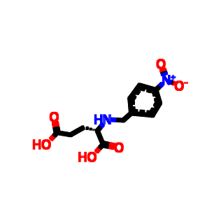 O=C(O)CC[C@H](NCc1ccc([N+](=O)[O-])cc1)C(=O)O